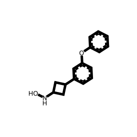 ONC1CC(c2cccc(Oc3ccccc3)c2)C1